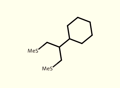 CSCC(CSC)C1CCCCC1